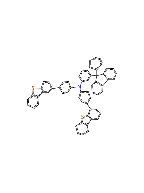 c1ccc(C2(c3cccc(N(c4ccc(-c5ccc6sc7ccccc7c6c5)cc4)c4ccc(-c5cccc6c5sc5ccccc56)cc4)c3)c3ccccc3-c3ccccc32)cc1